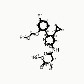 CCOCOc1cc(F)ccc1-c1nnc(NC(=O)CN(C)C(=O)OC(C)(C)C)cc1C1CC1